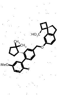 COc1ccc(F)c(-c2ccc(COc3ccc4c(c3)[C@@]3(CC4)CC[C@@H]3C(=O)O)cc2[C@@H]2CCCC2(C)C)c1